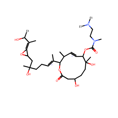 CCC(O)C(C)=C1OC1CC(C)(O)CC/C=C(\C)C1OC(=O)CC(O)CCC(C)(O)C(OC(=O)N(C)CCN(CC)CC)/C=C/C1C